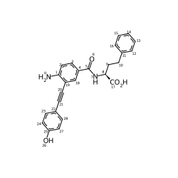 Nc1ccc(C(=O)N[C@@H](CCc2ccccc2)C(=O)O)cc1C#Cc1ccc(O)cc1